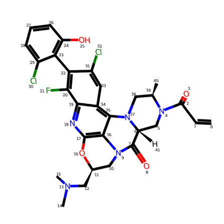 C=CC(=O)N1C[C@@H]2C(=O)N3C[C@@H](CN(C)C)Oc4nc5c(F)c(-c6c(O)cccc6Cl)c(Cl)cc5c(c43)N2C[C@H]1C